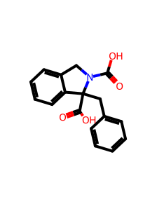 O=C(O)N1Cc2ccccc2C1(Cc1ccccc1)C(=O)O